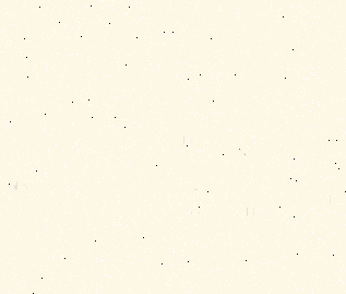 CCCCCCCCCCCCCCCCCC(=O)c1c(C)c(CCC(=O)O)n(Cc2ccccc2)c1C